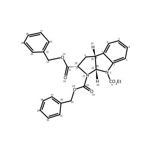 CCOC(=O)N1c2ccccc2[C@H]2C[C@@H](C(=O)OCc3ccccc3)N(C(=O)OCc3ccccc3)[C@H]21